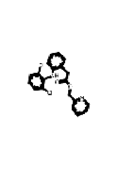 O=C(Cc1ccccc1Nc1c(Cl)cccc1Cl)OCc1ccccn1